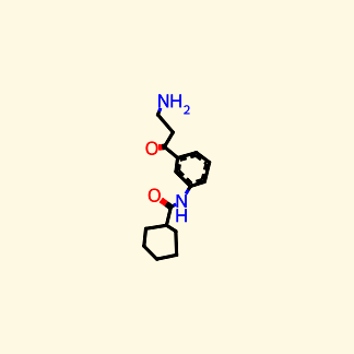 NCCC(=O)c1cccc(NC(=O)C2CCCCC2)c1